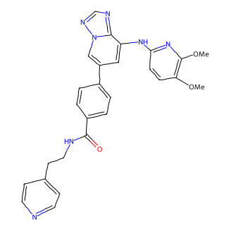 COc1ccc(Nc2cc(-c3ccc(C(=O)NCCc4ccncc4)cc3)cn3ncnc23)nc1OC